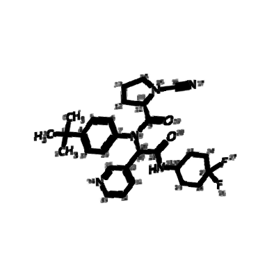 CC(C)(C)c1ccc(N(C(=O)[C@H]2CCCN2C#N)[C@@H](C(=O)NC2CCC(F)(F)CC2)c2cccnc2)cc1